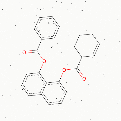 O=C(Oc1cccc2cccc(OC(=O)C3C=CCCC3)c12)c1ccccc1